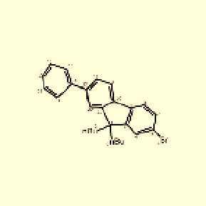 CCCCC1(CCCC)c2cc(Br)ccc2-c2ccc(-c3ccccc3)cc21